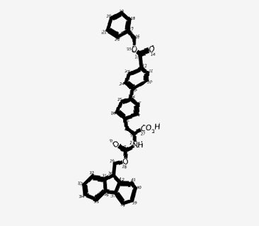 O=C(NC(Cc1ccc(-c2ccc(C(=O)OCc3ccccc3)cc2)cc1)C(=O)O)OCC1c2ccccc2-c2ccccc21